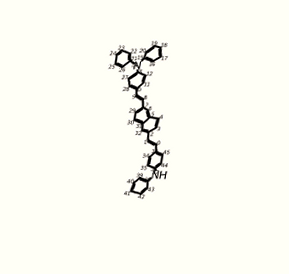 C(=C\c1ccc2cc(/C=C/c3ccc(N(c4ccccc4)c4ccccc4)cc3)ccc2c1)/c1ccc(Nc2ccccc2)cc1